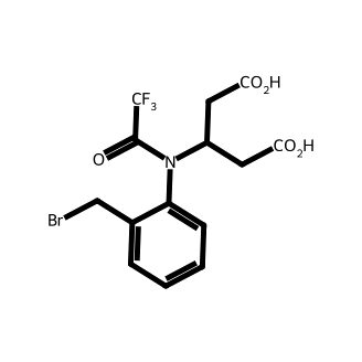 O=C(O)CC(CC(=O)O)N(C(=O)C(F)(F)F)c1ccccc1CBr